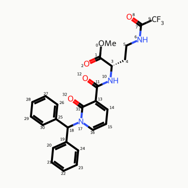 COC(=O)[C@H](CCNC(=O)C(F)(F)F)NC(=O)c1cccn(C(c2ccccc2)c2ccccc2)c1=O